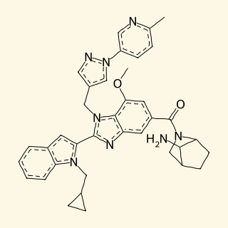 COc1cc(C(=O)N2CC3CCC2C3N)cc2nc(-c3cc4ccccc4n3CC3CC3)n(Cc3cnn(-c4ccc(C)nc4)c3)c12